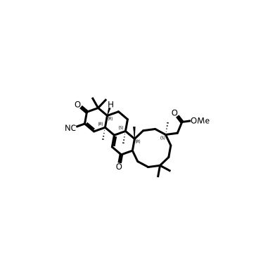 COC(=O)C[C@@]1(C)CCC(C)(C)CCC2C(=O)C=C3[C@@]4(C)C=C(C#N)C(=O)C(C)(C)[C@@H]4CC[C@@]3(C)[C@]2(C)CC1